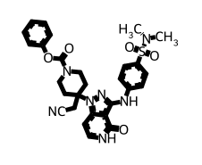 CN(C)S(=O)(=O)c1ccc(Nc2nn(C3(CC#N)CCN(C(=O)Oc4ccccc4)CC3)c3cc[nH]c(=O)c23)cc1